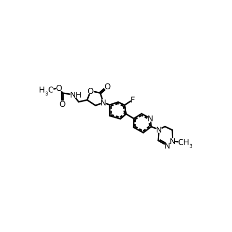 COC(=O)NCC1CN(c2ccc(-c3ccc(N4C=NN(C)CC4)nc3)c(F)c2)C(=O)O1